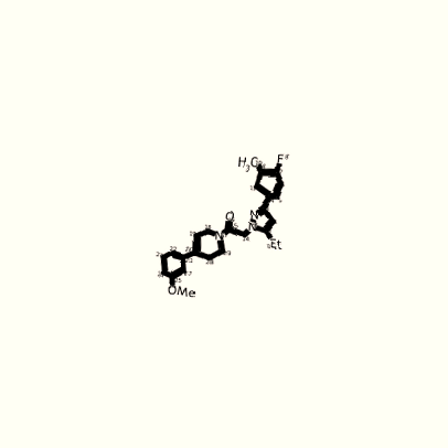 CCc1cc(-c2ccc(F)c(C)c2)nn1CC(=O)N1CC=C(c2cccc(OC)c2)CC1